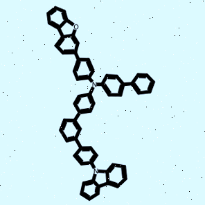 c1ccc(-c2ccc(N(c3ccc(-c4cccc(-c5ccc(-n6c7ccccc7c7ccccc76)cc5)c4)cc3)c3ccc(-c4ccc5c(c4)oc4ccccc45)cc3)cc2)cc1